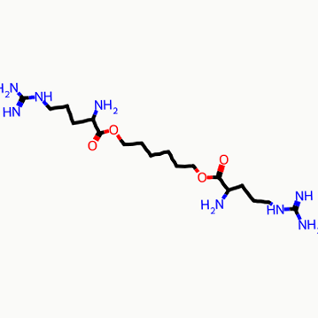 N=C(N)NCCCC(N)C(=O)OCCCCCCOC(=O)C(N)CCCNC(=N)N